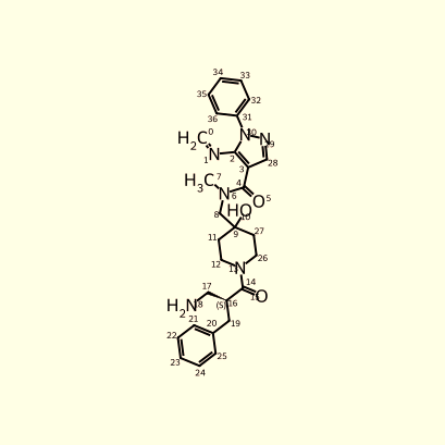 C=Nc1c(C(=O)N(C)CC2(O)CCN(C(=O)[C@H](CN)Cc3ccccc3)CC2)cnn1-c1ccccc1